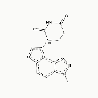 Cn1ncc2c3c([C@H]4CCC(=O)NC4=O)coc3ccc21